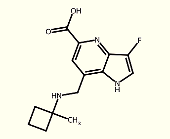 CC1(NCc2cc(C(=O)O)nc3c(F)c[nH]c23)CCC1